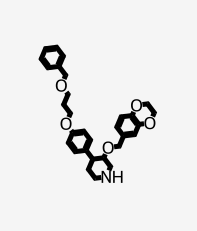 c1ccc(COCCCOc2ccc(C3CCNCC3OCc3ccc4c(c3)OCCO4)cc2)cc1